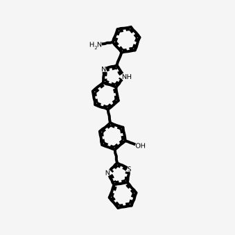 Nc1ccccc1-c1nc2ccc(-c3ccc(-c4nc5ccccc5s4)c(O)c3)cc2[nH]1